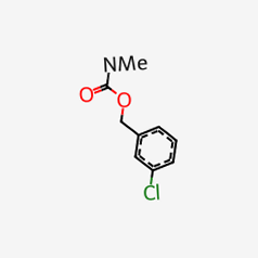 CNC(=O)OCc1cccc(Cl)c1